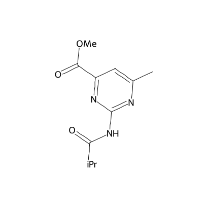 COC(=O)c1cc(C)nc(NC(=O)C(C)C)n1